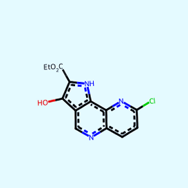 CCOC(=O)c1[nH]c2c(cnc3ccc(Cl)nc32)c1O